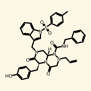 C=CCN1CC(=O)N2[C@@H](Cc3ccc(O)cc3)C(=O)N(Cc3cn(S(=O)(=O)c4ccc(C)cc4)c4ccccc34)C[C@@H]2N1C(=O)NCc1ccccc1